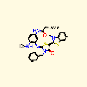 CCNc1ccc(NC(=O)COC)cc1N=C1SC(=C2Sc3ccccc3N2C)C(=O)N1Cc1ccccc1